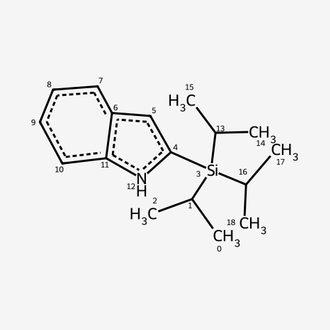 CC(C)[Si](c1cc2ccccc2[nH]1)(C(C)C)C(C)C